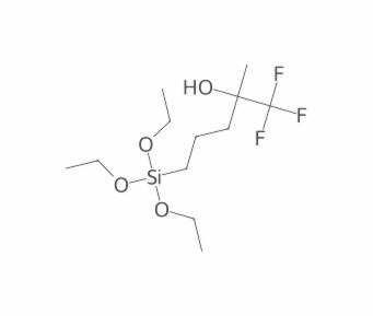 CCO[Si](CCCC(C)(O)C(F)(F)F)(OCC)OCC